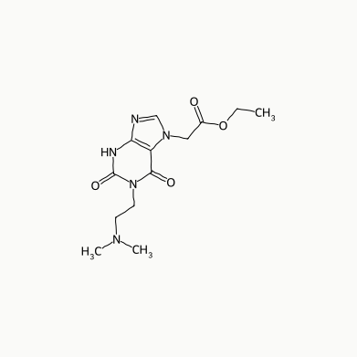 CCOC(=O)Cn1cnc2[nH]c(=O)n(CCN(C)C)c(=O)c21